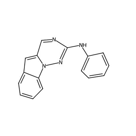 c1ccc(Nc2ncc3cc4ccccc4n3n2)cc1